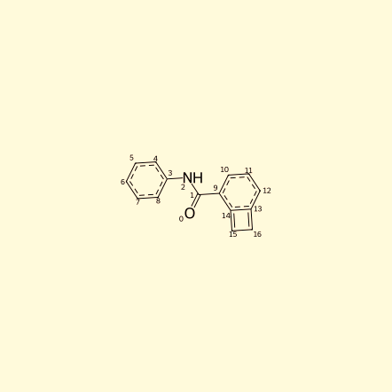 O=C(Nc1ccccc1)c1cccc2c1=CC=2